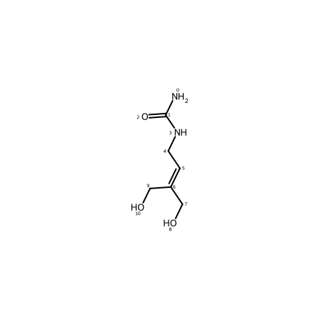 NC(=O)NCC=C(CO)CO